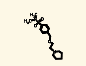 CN(C)S(=O)(=O)c1ccc(COCCN2CCCCC2)cc1